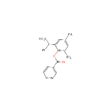 CCOC(=O)C(c1cc(C)cc(C)c1OC(=O)c1ccccc1)C(C)C